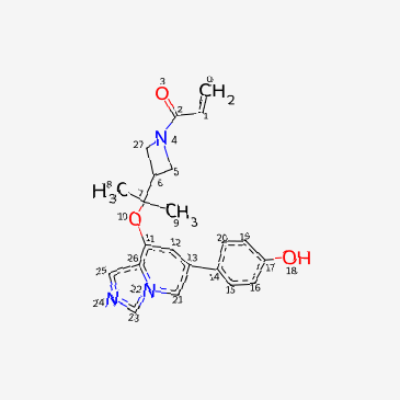 C=CC(=O)N1CC(C(C)(C)Oc2cc(-c3ccc(O)cc3)cn3cncc23)C1